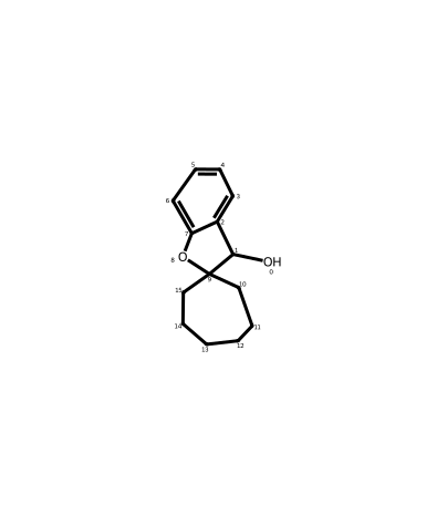 OC1c2ccccc2OC12CCCCCC2